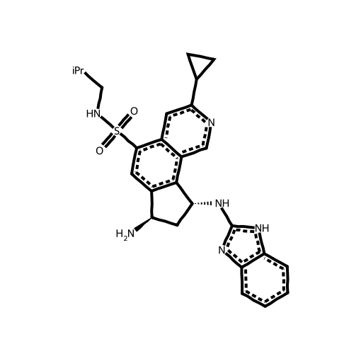 CC(C)CNS(=O)(=O)c1cc2c(c3cnc(C4CC4)cc13)[C@H](Nc1nc3ccccc3[nH]1)C[C@H]2N